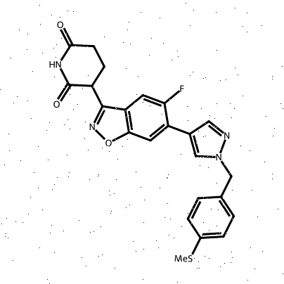 CSc1ccc(Cn2cc(-c3cc4onc(C5CCC(=O)NC5=O)c4cc3F)cn2)cc1